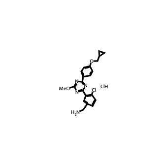 COc1nc(-c2ccc(OCC3CC3)cc2)nc(-c2cc(CN)ccc2Cl)n1.Cl